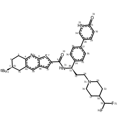 CC(C)(C)[C@H]1CCc2nc3sc(C(=O)N[C@H](CCN4CCC(C(F)F)CC4)c4ccc(-c5ccc(=O)[nH]c5)cc4)cc3cc2C1